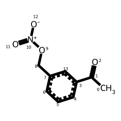 CC(=O)c1cccc(CO[N+](=O)[O-])c1